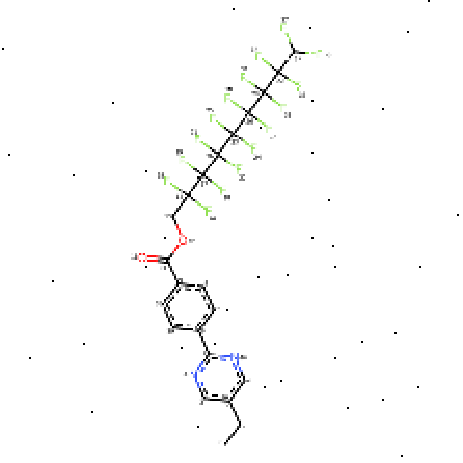 CCc1cnc(-c2ccc(C(=O)OCC(F)(F)C(F)(F)C(F)(F)C(F)(F)C(F)(F)C(F)(F)C(F)(F)C(F)F)cc2)nc1